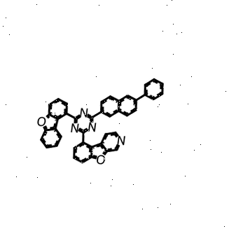 c1ccc(-c2ccc3cc(-c4nc(-c5cccc6oc7ccccc7c56)nc(-c5cccc6oc7cnccc7c56)n4)ccc3c2)cc1